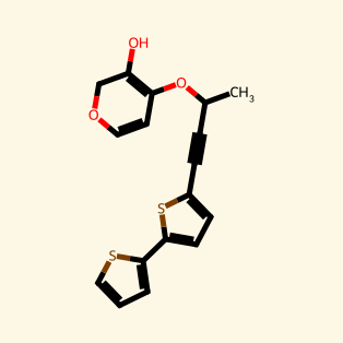 CC(C#Cc1ccc(-c2cccs2)s1)OC1=C(O)COC=C1